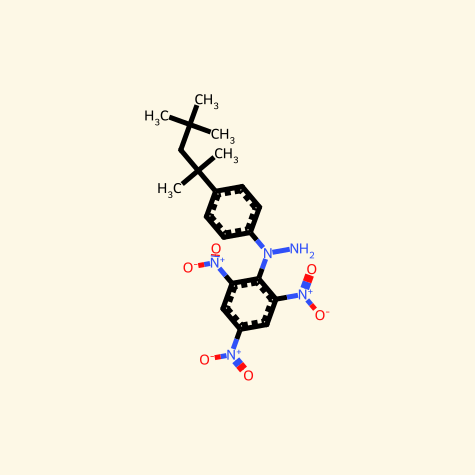 CC(C)(C)CC(C)(C)c1ccc(N(N)c2c([N+](=O)[O-])cc([N+](=O)[O-])cc2[N+](=O)[O-])cc1